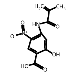 C=C(C)C(=O)Nc1cc(O)c(C(=O)O)cc1[N+](=O)[O-]